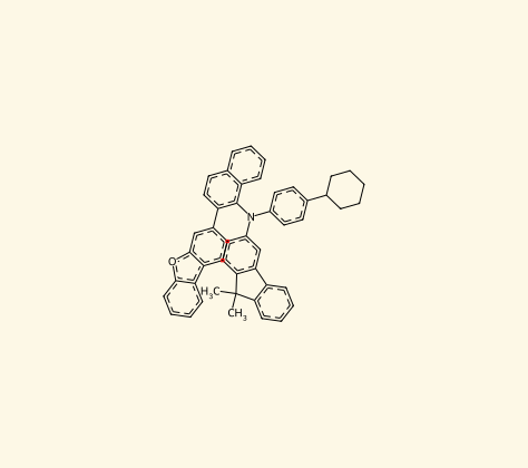 CC1(C)c2ccccc2-c2cc(N(c3ccc(C4CCCCC4)cc3)c3c(-c4ccc5c(c4)oc4ccccc45)ccc4ccccc34)ccc21